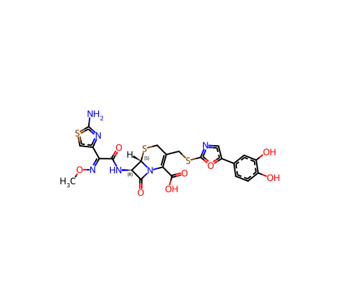 CON=C(C(=O)N[C@@H]1C(=O)N2C(C(=O)O)=C(CSc3ncc(-c4ccc(O)c(O)c4)o3)CS[C@@H]12)c1csc(N)n1